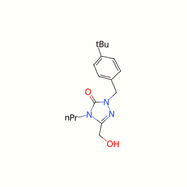 CCCn1c(CO)nn(Cc2ccc(C(C)(C)C)cc2)c1=O